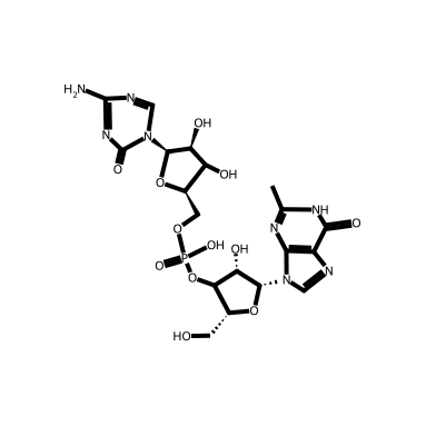 Cc1nc2c(ncn2[C@@H]2O[C@H](CO)C(OP(=O)(O)OC[C@H]3O[C@@H](n4cnc(N)nc4=O)[C@@H](O)C3O)[C@@H]2O)c(=O)[nH]1